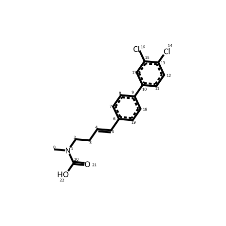 CN(CCC=Cc1ccc(-c2ccc(Cl)c(Cl)c2)cc1)C(=O)O